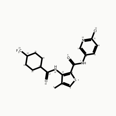 Cc1csc(C(=O)Nc2ccc(Cl)nc2)c1NC(=O)C1CCC(C(F)(F)F)CC1